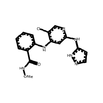 CONC(=O)c1ccccc1Nc1cc(Nc2ccn[nH]2)ncc1Cl